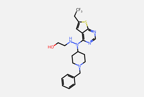 OCCNN(c1ncnc2sc(CC(F)(F)F)cc12)C1CCN(Cc2ccccc2)CC1